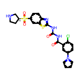 O=C(NC(=O)c1cc(-n2cccc2)ccc1Cl)Nc1nc2ccc(S(=O)(=O)[C@H]3CCNC3)cc2s1